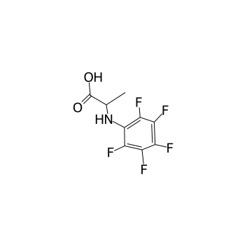 CC(Nc1c(F)c(F)c(F)c(F)c1F)C(=O)O